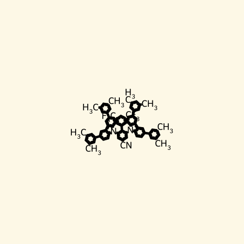 Cc1cc(C)cc(-c2ccc3c(c2)c2cc(-c4cc(C)cc(C)c4)ccc2n3-c2cc(C#N)cc(-n3c4ccc(-c5cc(C)cc(C)c5)cc4c4cc(-c5cc(C)cc(C)c5)ccc43)c2-c2cc(C(F)(F)F)cc(C(F)(F)F)c2)c1